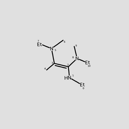 CCN/C(=C(\C)N(C)CC)N(C)CC